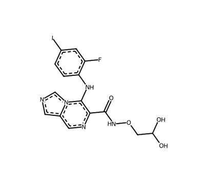 O=C(NOCC(O)O)c1ncc2cncn2c1Nc1ccc(I)cc1F